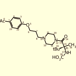 CC(=O)c1ccc(OCCCN2CCN(C(=O)[C@](C)(NC(=O)O)C(C)(C)C)CC2)cc1